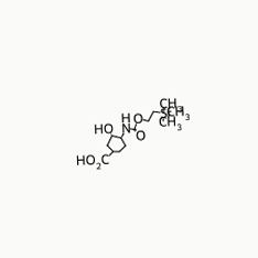 C[Si](C)(C)CCOC(=O)N[C@H]1CCC(C(=O)O)C[C@@H]1O